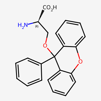 N[C@H](COC1(c2ccccc2)c2ccccc2Oc2ccccc21)C(=O)O